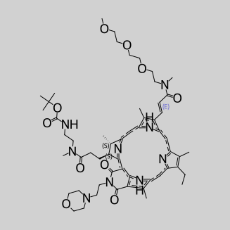 CCC1=C(C)c2cc3[nH]c(cc4nc(c5c6[nH]c(cc1n2)c(C)c6C(=O)N(CCN1CCOCC1)C5=O)[C@@H](CCC(=O)N(C)CCNC(=O)OC(C)(C)C)[C@@H]4C)c(C)c3/C=C/C(=O)N(C)CCOCCOCCOC